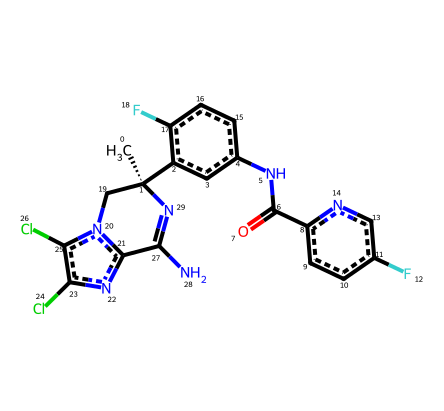 C[C@@]1(c2cc(NC(=O)c3ccc(F)cn3)ccc2F)Cn2c(nc(Cl)c2Cl)C(N)=N1